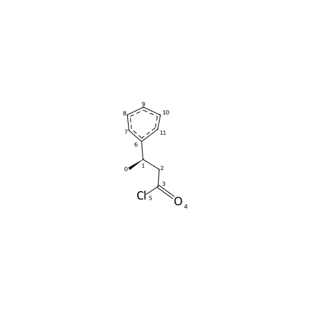 C[C@H](CC(=O)Cl)c1ccccc1